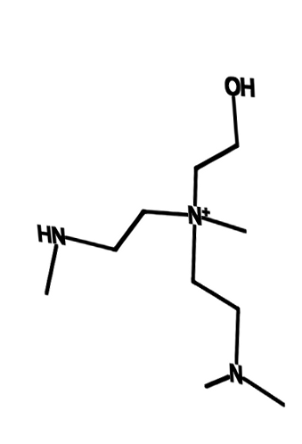 CNCC[N+](C)(CCO)CCN(C)C